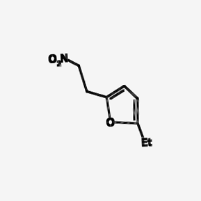 CCc1ccc(CC[N+](=O)[O-])o1